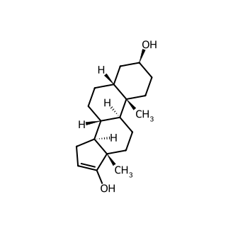 C[C@]12CC[C@H](O)C[C@H]1CC[C@@H]1[C@@H]2CC[C@]2(C)C(O)=CC[C@@H]12